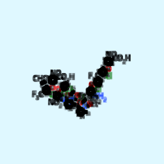 C=CC=O.CCOCN(C(=O)CCl)c1c(C)cccc1CC.CCOCN(C(=O)CCl)c1c(C)cccc1CC.Nc1c([N+](=O)[O-])ccc(Oc2ccccc2)c1Cl.Nc1c([N+](=O)[O-])ccc(Oc2ccccc2)c1Cl.O=C(O)c1cc(Oc2ccc(C(F)(F)F)cc2Cl)ccc1[N+](=O)[O-].O=C(O)c1cc(Oc2ccc(C(F)(F)F)cc2Cl)ccc1[N+](=O)[O-]